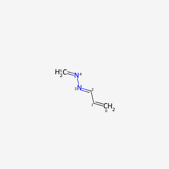 C=CC=NN=C